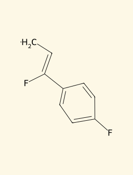 [CH2]C=C(F)c1ccc(F)cc1